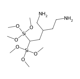 CO[Si](OC)(OC)C(CC(CN)CCN)[Si](OC)(OC)OC